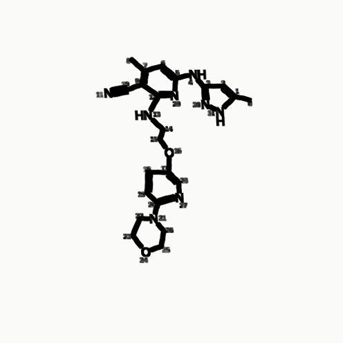 Cc1cc(Nc2cc(C)c(C#N)c(NCCOc3ccc(N4CCOCC4)nc3)n2)n[nH]1